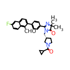 CC1(C)N=C(c2ccc(-c3ccc4cc(F)ccc4c3C=O)cc2)N(C[C@@H]2CCN(C(=O)C3CC3)C2)C1=O